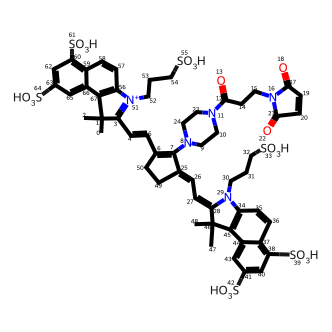 CC1(C)C(/C=C/C2=C(N3CCN(C(=O)CCN4C(=O)C=CC4=O)CC3)C(=C/C=C3\N(CCCS(=O)(=O)O)c4ccc5c(S(=O)(=O)O)cc(S(=O)(=O)O)cc5c4C3(C)C)/CC2)=[N+](CCCS(=O)(=O)O)c2ccc3c(S(=O)(=O)O)cc(S(=O)(=O)O)cc3c21